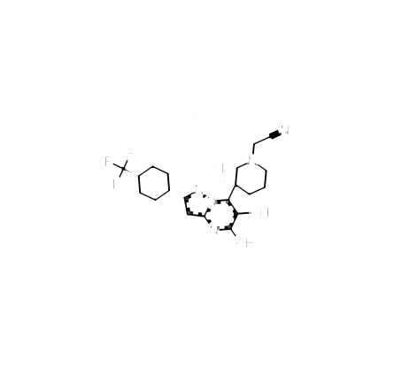 Cc1nc2cc([C@H]3CC[C@H](C(F)(F)F)CC3)nn2c([C@]2(C)CCCN(CC#N)C2)c1C.Cl